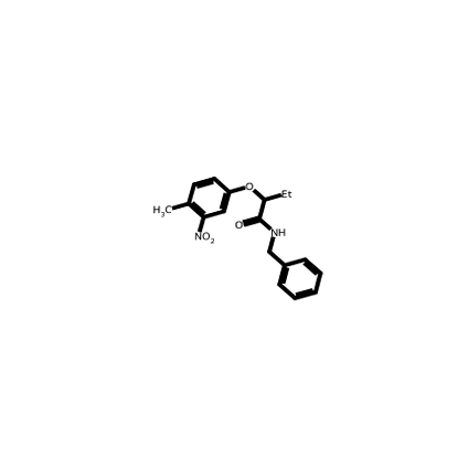 CCC(Oc1ccc(C)c([N+](=O)[O-])c1)C(=O)NCc1ccccc1